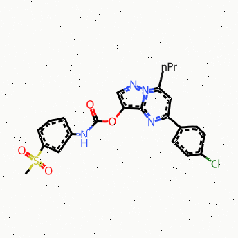 CCCc1cc(-c2ccc(Cl)cc2)nc2c(OC(=O)Nc3cccc(S(C)(=O)=O)c3)cnn12